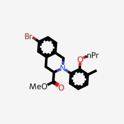 CCCOc1c(C)cccc1N1Cc2ccc(Br)cc2CC1C(=O)OC